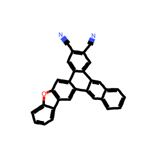 N#Cc1cc2c(cc1C#N)c1cc3oc4ccccc4c3cc1c1cc3ccccc3cc21